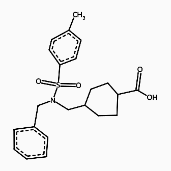 Cc1ccc(S(=O)(=O)N(Cc2ccccc2)CC2CCC(C(=O)O)CC2)cc1